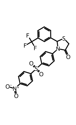 O=C1CSC(c2cccc(C(F)(F)F)c2)N1c1ccc(S(=O)(=O)c2ccc([N+](=O)[O-])cc2)cc1